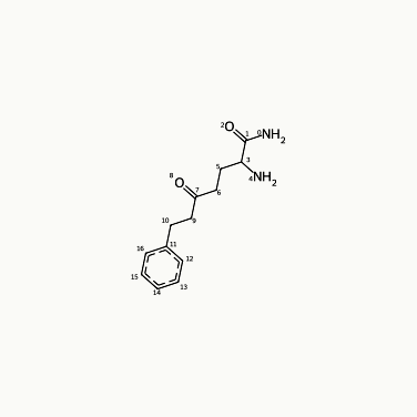 NC(=O)C(N)CCC(=O)CCc1ccccc1